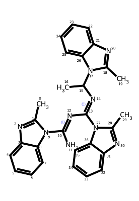 Cc1nc2ccccc2n1/C(N)=N/C(=N\C(C)n1c(C)nc2ccccc21)n1c(C)nc2ccccc21